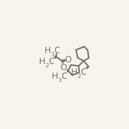 C=CC1(C2CCC(C)(OC(=O)C(=C)C)C2)CCCCC1